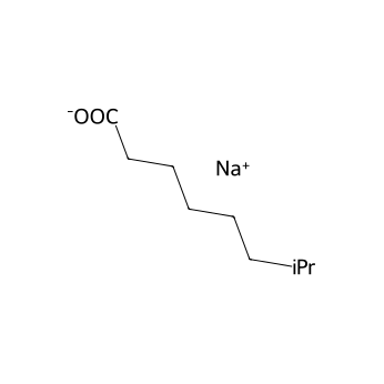 CC(C)CCCCCC(=O)[O-].[Na+]